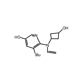 C=CN(c1ncc(O)cc1C(C)CC)C1CC(O)C1